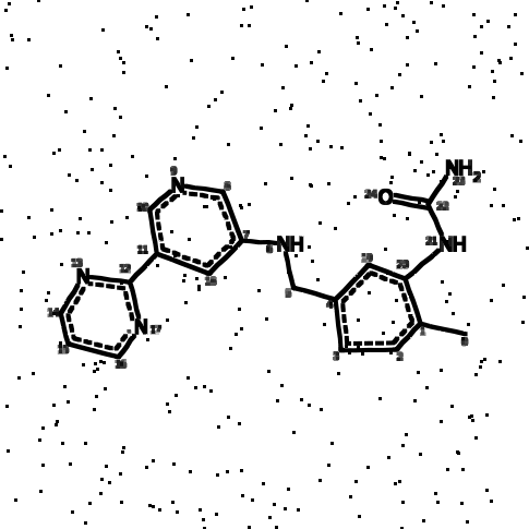 Cc1ccc(CNc2cncc(-c3ncccn3)c2)cc1NC(N)=O